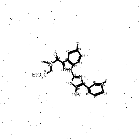 CCOC(=O)CN(C)C(=O)c1nn(-c2nc(-c3cccc(C)c3)c(C(C)C)s2)c2ccc(C)cc12